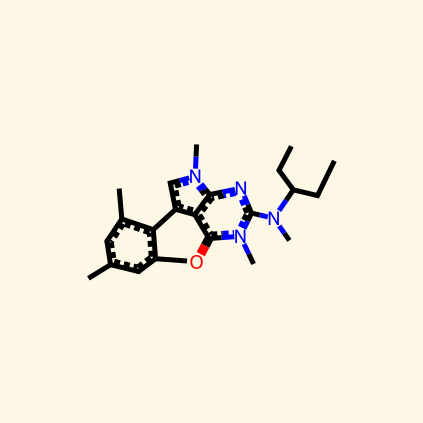 CCC(CC)N(C)c1nc2c(c(-c3c(C)cc(C)cc3C)cn2C)c(=O)n1C